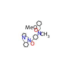 COc1ccccc1CC(=O)N(C)c1ccc(C(=O)N2Cc3cccn3Cc3ccccc32)cc1